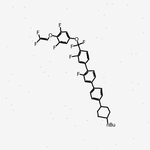 CCCCC1CCC(c2ccc(-c3ccc(-c4ccc(C(F)(F)Oc5cc(F)c(OC=C(F)F)c(F)c5)c(F)c4)c(F)c3)cc2)CC1